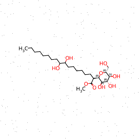 CCCCCCCCC(O)C(O)CCCCCCC(C(=O)OC)[C@H]1O[C@H](CO)[C@@H](O)[C@H](O)[C@H]1O